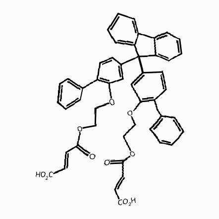 O=C(O)C=CC(=O)OCCOc1cc(C2(c3ccc(-c4ccccc4)c(OCCOC(=O)C=CC(=O)O)c3)c3ccccc3-c3ccccc32)ccc1-c1ccccc1